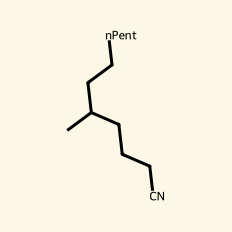 CCCCCCCC(C)CCCC#N